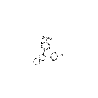 CS(=O)(=O)c1ccc(C2=C(c3ccc(Cl)cc3)CC3(CCCC3)C2)cn1